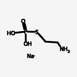 NCCSP(=O)(O)O.[Na]